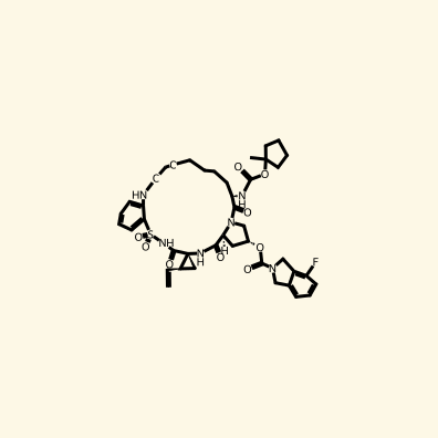 C=C[C@@H]1C[C@@]12NC(=O)[C@@H]1C[C@@H](OC(=O)N3Cc4cccc(F)c4C3)CN1C(=O)[C@@H](NC(=O)OC1(C)CCCC1)CCCCCCCNc1ccccc1S(=O)(=O)NC2=O